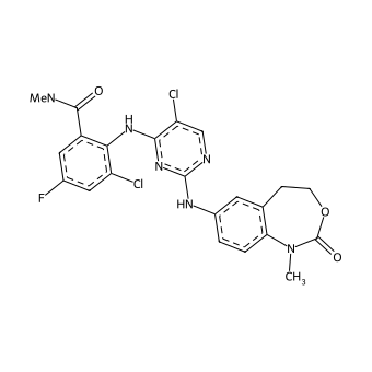 CNC(=O)c1cc(F)cc(Cl)c1Nc1nc(Nc2ccc3c(c2)CCOC(=O)N3C)ncc1Cl